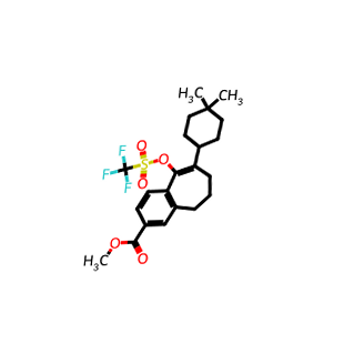 COC(=O)c1ccc2c(c1)CCCC(C1CCC(C)(C)CC1)=C2OS(=O)(=O)C(F)(F)F